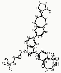 C[C@@H]1CCCN1C1CCc2ccc(-c3cnc4c(c3)c(-c3ccc5c(c3)OCCNS5(=O)=O)nn4COCC[Si](C)(C)C)cc2CC1